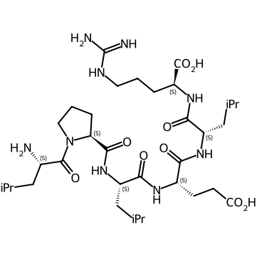 CC(C)C[C@H](NC(=O)[C@H](CCC(=O)O)NC(=O)[C@H](CC(C)C)NC(=O)[C@@H]1CCCN1C(=O)[C@@H](N)CC(C)C)C(=O)N[C@@H](CCCNC(=N)N)C(=O)O